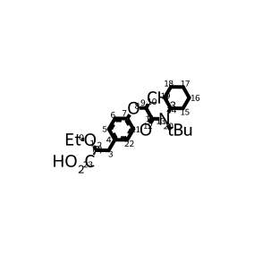 CCO[C@H](Cc1ccc(OC(C)C(=O)N(C2CCCCC2)C(C)(C)C)cc1)C(=O)O